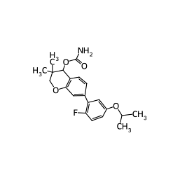 CC(C)Oc1ccc(F)c(-c2ccc3c(c2)OCC(C)(C)C3OC(N)=O)c1